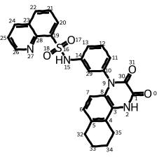 O=c1[nH]c2c3c(ccc2n(-c2cccc(NS(=O)(=O)c4cccc5cccnc45)c2)c1=O)CCCC3